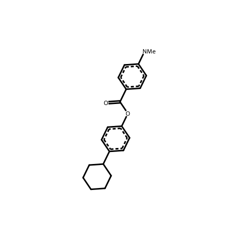 CNc1ccc(C(=O)Oc2ccc(C3CCCCC3)cc2)cc1